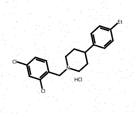 CCc1ccc(C2CCN(Cc3ccc(Cl)cc3Cl)CC2)cc1.Cl